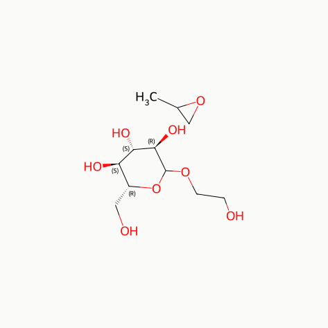 CC1CO1.OCCOC1O[C@H](CO)[C@@H](O)[C@H](O)[C@H]1O